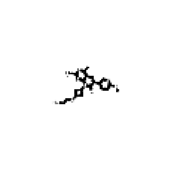 COc1ccc(-c2cc3c(C)nc(N)nc3n(C3CC(OCCO)C3)c2=O)cn1